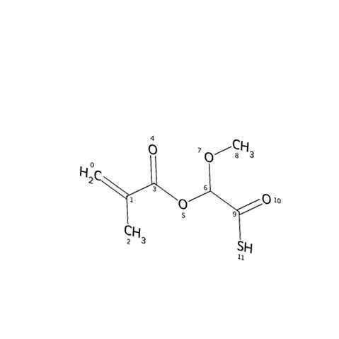 C=C(C)C(=O)OC(OC)C(=O)S